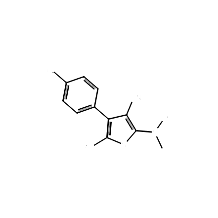 CC(=O)c1sc([S+](C)[O-])c(C#N)c1-c1ccc(Cl)cc1